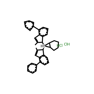 CC1=Cc2c(-c3ccccc3)cccc2[CH]1[Hf]1([CH]2C(C)=Cc3c(-c4ccccc4)cccc32)[CH]2CCCC[CH]21.Cl.Cl